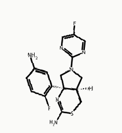 NC1=N[C@@]2(c3cc(N)ccc3F)CN(c3ncc(F)cn3)C[C@H]2CS1